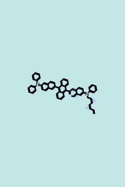 C=C/C=C\C=C/CN(c1ccccc1)c1ccc(=C/C(=C)c2c3ccccc3c(-c3ccc4cc(N(c5ccccc5)c5ccccc5)ccc4c3)c3ccccc23)/c(=C\C)c1